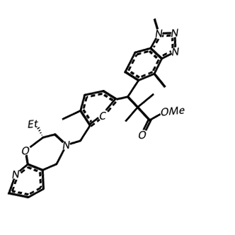 CC[C@@H]1CN(Cc2cc(C(c3ccc4c(nnn4C)c3C)C(C)(C)C(=O)OC)ccc2C)Cc2cccnc2O1